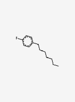 CCCCCCCc1ccc(F)cc1